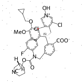 COc1ccc([C@H](Cc2c(Cl)c[n+](O)cc2Cl)c2cc(CN(C(=O)O[C@H]3CN4CCC3CC4)c3ccccc3F)ccc2C(=O)[O-])cc1OCC1CC1